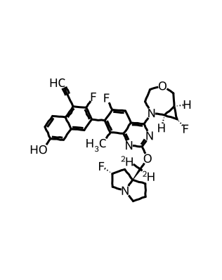 [2H]C([2H])(Oc1nc(N2CCOC[C@H]3[C@H](F)[C@H]32)c2cc(F)c(-c3cc4cc(O)ccc4c(C#C)c3F)c(C)c2n1)[C@@]12CCCN1C[C@H](F)C2